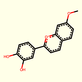 COc1ccc2ccc(-c3ccc(O)c(O)c3)[o+]c2c1